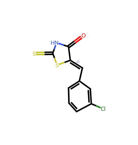 O=C1NC(=S)S/C1=C\c1cccc(Cl)c1